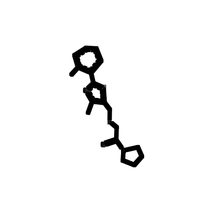 Cc1ccccc1-c1nc(CSCC(=O)N2CCCC2)c(C)o1